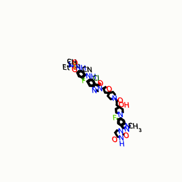 CCN(C)S(=O)(=O)Nc1ccc(F)c(Nc2ccc3ncn([C@H]4COC5(CCN(C(=O)CC6(O)CCN(c7cc8c(cc7F)c(N7CCC(=O)NC7=O)nn8C)CC6)CC5)C4)c(=O)c3c2Cl)c1C#N